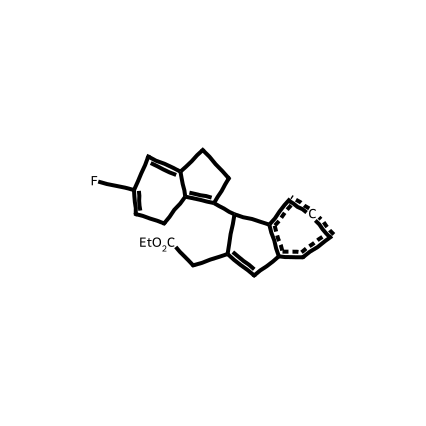 CCOC(=O)CC1=Cc2ccccc2C1C1=C2CC=C(F)C=C2CC1